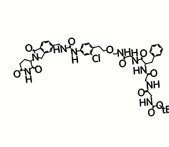 CC(C)(C)OC(=O)NCC(=O)NCC(=O)NC(Cc1ccccc1)C(=O)NCC(=O)NCOCCc1ccc(NC(=O)NCc2ccc3c(c2)CN(C2CCC(=O)NC2=O)C3=O)cc1Cl